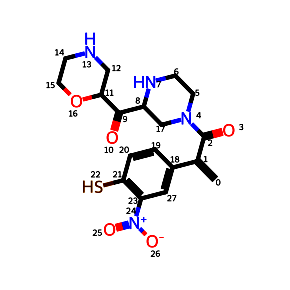 C=C(C(=O)N1CCNC(C(=O)C2CNCCO2)C1)c1ccc(S)c([N+](=O)[O-])c1